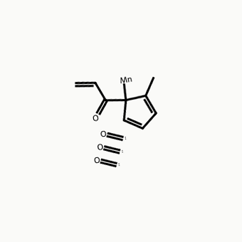 C=CC(=O)[C]1([Mn])C=CC=C1C.[C]=O.[C]=O.[C]=O